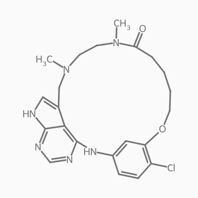 CN1CCN(C)C(=O)CCCCOc2cc(ccc2Cl)Nc2ncnc3[nH]cc(c23)C1